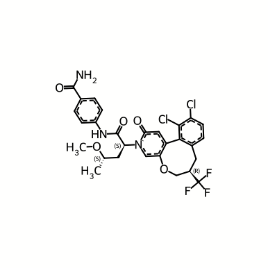 CO[C@@H](C)C[C@@H](C(=O)Nc1ccc(C(N)=O)cc1)n1cc2c(cc1=O)-c1c(ccc(Cl)c1Cl)C[C@@H](C(F)(F)F)CO2